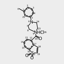 Cc1cccc(N2CCN(C(=O)c3cccc4c3C=CS4(=O)=O)CC2)c1.Cl